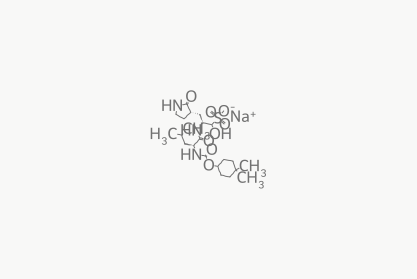 CC(C)C[C@H](NC(=O)OC1CCC(C)(C)CC1)C(=O)N[C@@H](C[C@@H]1CCNC1=O)C(O)S(=O)(=O)[O-].[Na+]